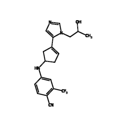 CC(O)Cn1cncc1C1=CCC(Nc2ccc(C#N)c(C(F)(F)F)c2)C1